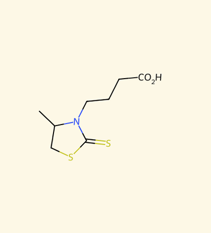 CC1CSC(=S)N1CCCC(=O)O